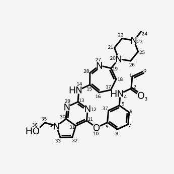 C=CC(=O)Nc1cccc(Oc2nc(NC3=CCC=C(N4CCN(C)CC4)N=C3)nc3c2ccn3CO)c1